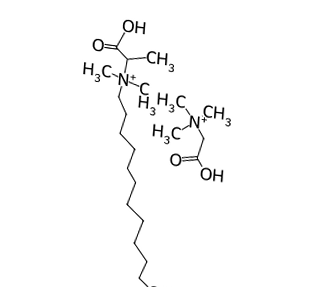 CCCCCCCCCCCC[N+](C)(C)C(C)C(=O)O.C[N+](C)(C)CC(=O)O